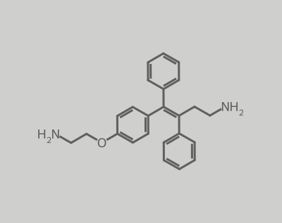 NCCOc1ccc(/C(=C(/CCN)c2ccccc2)c2ccccc2)cc1